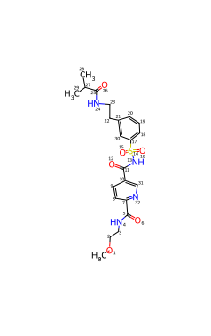 COCCNC(=O)c1ccc(C(=O)NS(=O)(=O)c2cccc(CCNC(=O)C(C)C)c2)cn1